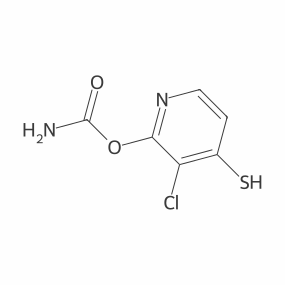 NC(=O)Oc1nccc(S)c1Cl